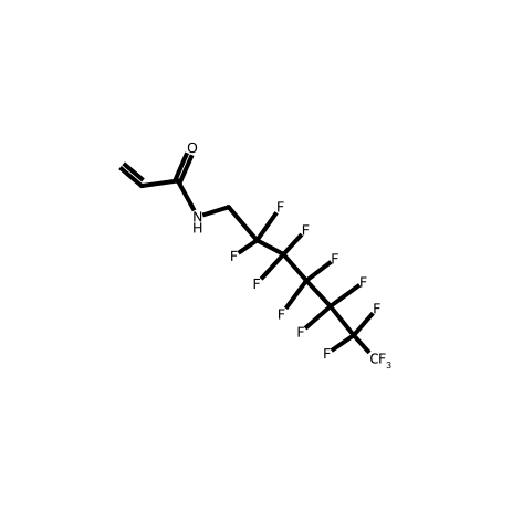 C=CC(=O)NCC(F)(F)C(F)(F)C(F)(F)C(F)(F)C(F)(F)C(F)(F)F